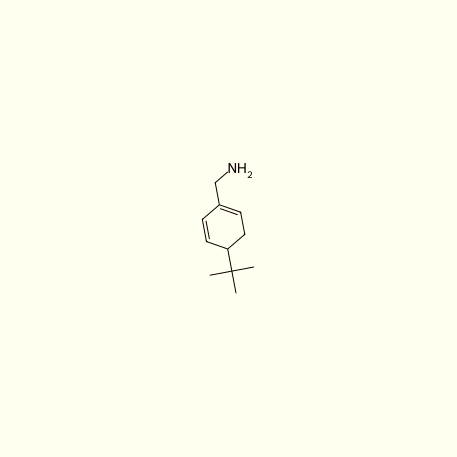 CC(C)(C)C1C=CC(CN)=CC1